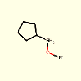 CC(C)O[SiH2]C1CCCC1